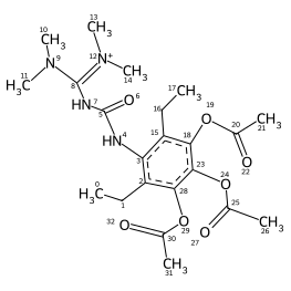 CCc1c(NC(=O)NC(N(C)C)=[N+](C)C)c(CC)c(OC(C)=O)c(OC(C)=O)c1OC(C)=O